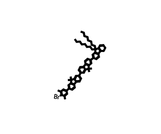 CCCCCCCCC1(CCCCCCCC)C2=C(CCC=C2)c2ccc(-c3ccc4c(c3)C(C)(C)c3cc(-c5ccc6c(c5)C(C)(C)c5cc(-c7cc(C)c(Br)c(C)c7)ccc5-6)ccc3-4)cc21